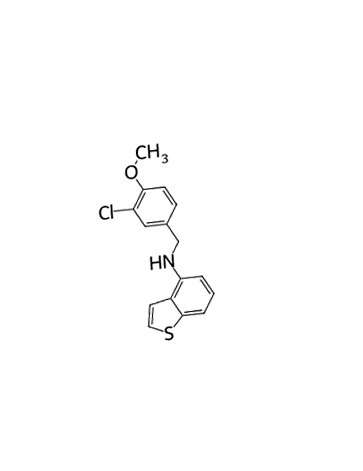 COc1ccc(CNc2cccc3sccc23)cc1Cl